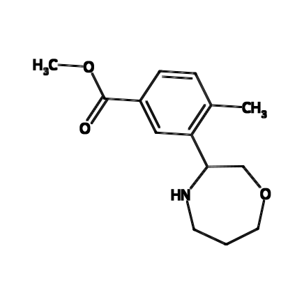 COC(=O)c1ccc(C)c(C2COCCCN2)c1